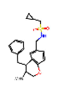 CNC1COc2ccc(CNS(=O)(=O)CC3CC3)cc2C1Cc1ccccc1